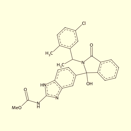 COC(=O)Nc1nc2cc(C3(O)c4ccccc4C(=O)N3C(C)c3cc(Cl)ccc3C)ccc2[nH]1